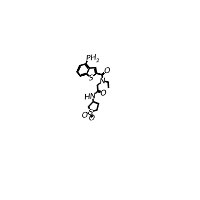 CCN(CC(=O)NC1CCS(=O)(=O)C1)C(=O)c1cc2c(P)cccc2s1